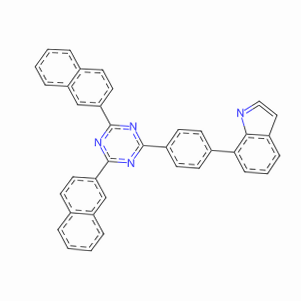 C1=Cc2cccc(-c3ccc(-c4nc(-c5ccc6ccccc6c5)nc(-c5ccc6ccccc6c5)n4)cc3)c2N=1